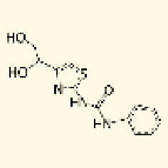 O=C(Nc1ccccc1)Nc1nc(C(O)CO)cs1